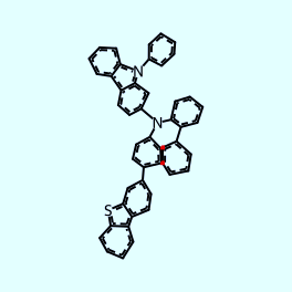 c1ccc(-c2ccccc2N(c2ccc(-c3ccc4c(c3)sc3ccccc34)cc2)c2ccc3c4ccccc4n(-c4ccccc4)c3c2)cc1